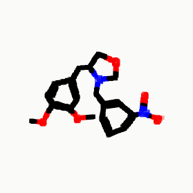 COc1ccc(CC2COCN2Cc2cccc([N+](=O)[O-])c2)cc1OC